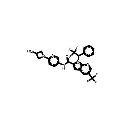 O=C(Nc1ccc(N2CC(O)C2)nc1)c1cc2cc(C(F)(F)F)cnc2n1C(c1ccccc1)C(F)(F)F